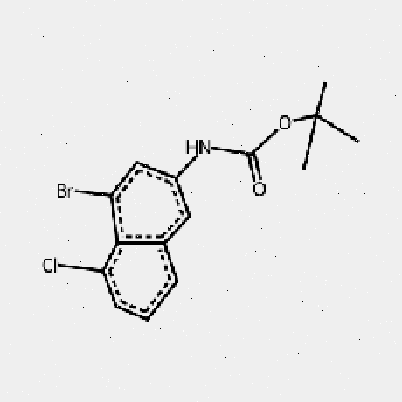 CC(C)(C)OC(=O)Nc1cc(Br)c2c(Cl)cccc2c1